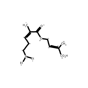 CCN(CC)CCC=C(C)C(=O)OCC=C(C)C(=O)O